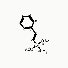 CC(=O)O[Si](C)(C=Cc1ccccc1)OC(C)=O